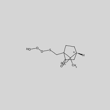 CC1(C)[C@@H]2CCC1(CSOOO)C(=O)C2